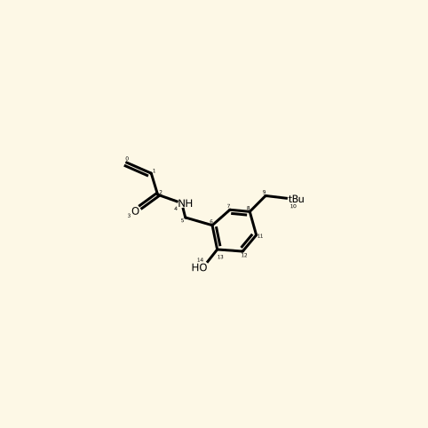 C=CC(=O)NCc1cc(CC(C)(C)C)ccc1O